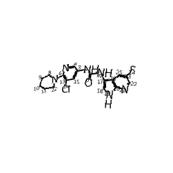 O=C(Nc1cnc(N2CCCCC2)c(Cl)c1)Nc1c[nH]c2ncc(F)cc12